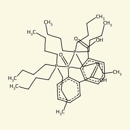 CCCCP(CCCC)(CCCC)(CCCC)S(=O)(c1ccccc1C(=O)O)(c1ccccc1C(=O)O)P(CCCC)(CCCC)(CCCC)CCCC